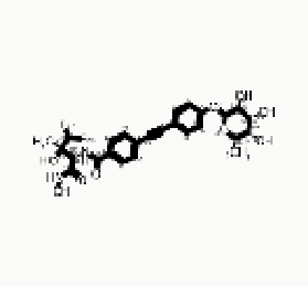 C[C@@H]1OC(Oc2ccc(C#Cc3ccc(C(=O)N[C@H](C(=O)NO)[C@](C)(O)C(F)F)cc3)cc2)[C@@H](O)[C@H](O)[C@@H]1O